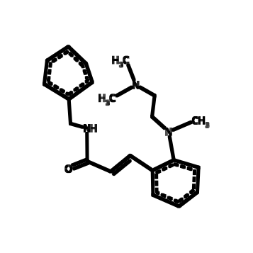 CN(C)CCN(C)c1ccccc1C=CC(=O)NCc1ccccc1